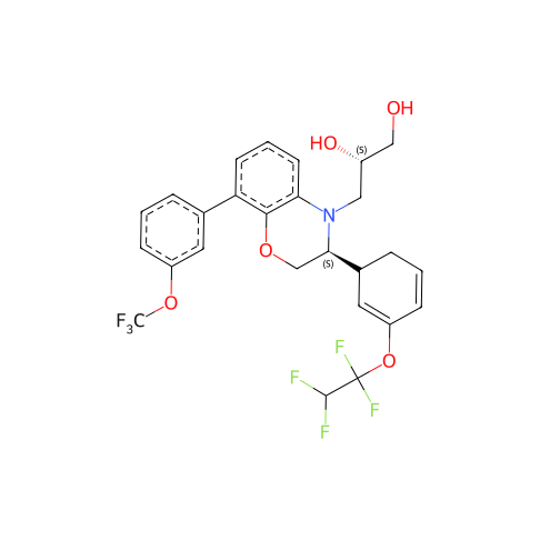 OC[C@@H](O)CN1c2cccc(-c3cccc(OC(F)(F)F)c3)c2OC[C@@H]1C1C=C(OC(F)(F)C(F)F)C=CC1